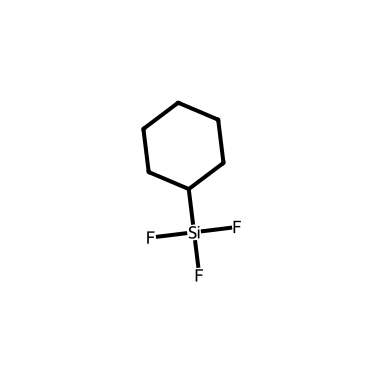 F[Si](F)(F)C1CCCCC1